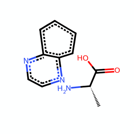 C[C@H](N)C(=O)O.c1ccc2nccnc2c1